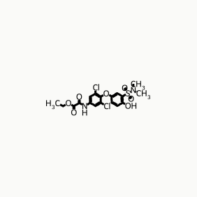 CCOC(=O)C(=O)Nc1cc(Cl)c(Oc2ccc(O)c(S(=O)(=O)N(C)C)c2)c(Cl)c1